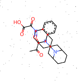 CC(=O)C(=O)N(c1ccccc1NC(=O)C(=O)O)C1CC2CCCC(C1)N2C1CC2CCCC(C2)C1